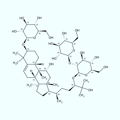 C[C@H](CC[C@@H](O[C@@H]1O[C@H](CO)[C@@H](O)[C@H](O)[C@H]1O[C@@H]1O[C@H](CO)[C@@H](O)[C@H](O)[C@H]1O)C(C)(C)O)[C@H]1CC[C@@]2(C)[C@@H]3CC=C4[C@H](CC[C@H](O[C@@H]5O[C@H](CO)[C@@H](O)[C@H](O)[C@H]5O)C4(C)C)[C@]3(C)[C@H](O)C[C@]12C